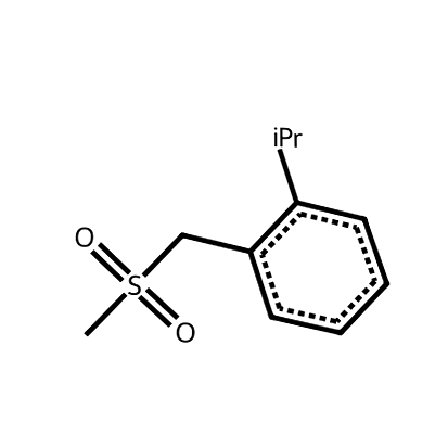 CC(C)c1ccccc1CS(C)(=O)=O